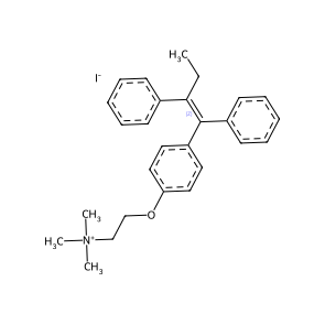 CC/C(=C(\c1ccccc1)c1ccc(OCC[N+](C)(C)C)cc1)c1ccccc1.[I-]